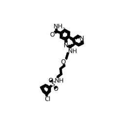 NC(=O)c1ccc2c(c1)nc(NCCOCCCCNS(=O)(=O)c1cccc(Cl)c1)c1ccncc12